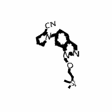 C[Si](C)(C)CCOCn1ncc2ccc(-n3cccc3C#N)cc21